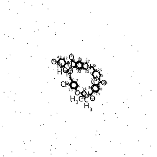 CC1(C)[C@H](Oc2ccc(C#N)c(Cl)c2)CN1C(=O)c1ccc(C(=O)N2CCC(CN3Cc4cc5c(cc4C3)C(=O)N(C3CCC(=O)NC3=O)C5=O)CC2)cc1